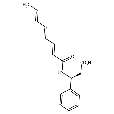 C/C=C/C=C/C=C/C(=O)N[C@@H](CC(=O)O)c1ccccc1